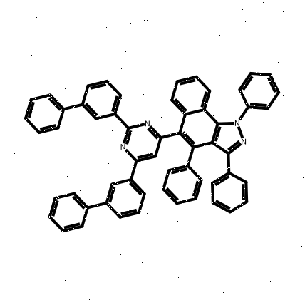 c1ccc(-c2cccc(-c3cc(-c4c(-c5ccccc5)c5c(-c6ccccc6)nn(-c6ccccc6)c5c5ccccc45)nc(-c4cccc(-c5ccccc5)c4)n3)c2)cc1